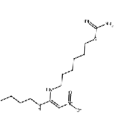 CCCCNC(=C[N+](=O)[O-])NCCCCCCSC(=N)N